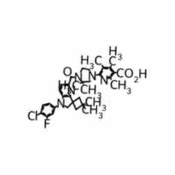 Cc1nc(N2CCN(C(=O)c3ccc4c(n3)C3(CN4c4ccc(Cl)c(F)c4)CC(C)(C)C3)C(C)(C)C2)c(C)c(C)c1C(=O)O